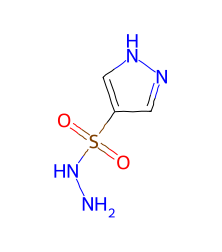 NNS(=O)(=O)c1cn[nH]c1